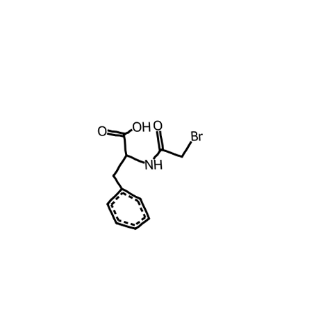 O=C(CBr)NC(Cc1ccccc1)C(=O)O